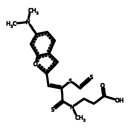 CN(CCC(=O)O)C(=S)/C(=C/c1cc2ccc(N(C)C)cc2o1)SC=S